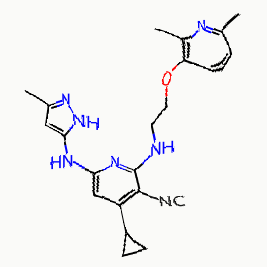 [C-]#[N+]c1c(C2CC2)cc(Nc2cc(C)n[nH]2)nc1NCCOc1ccc(C)nc1C